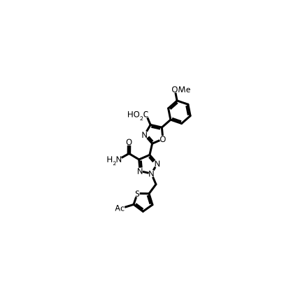 COc1cccc(-c2oc(-c3nn(Cc4ccc(C(C)=O)s4)nc3C(N)=O)nc2C(=O)O)c1